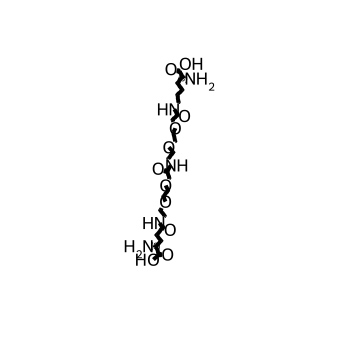 N[C@@H](CCCCNC(=O)COCCOCCNC(=O)COCCOCCNC(=O)CC[C@H](N)C(=O)O)C(=O)O